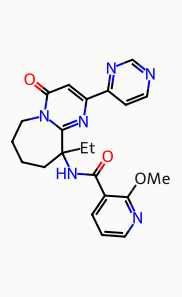 CCC1(NC(=O)c2cccnc2OC)CCCCn2c1nc(-c1ccncn1)cc2=O